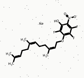 CC(C)=CCCC(C)=CCCC(C)=CCOc1c(F)c(O)c([N+](=O)[O-])c(F)c1F.[Na]